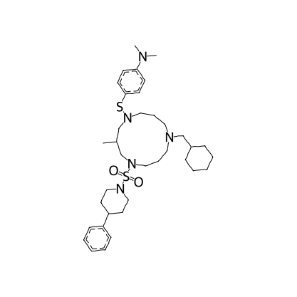 CC1CN(Sc2ccc(N(C)C)cc2)CCCN(CC2CCCCC2)CCCN(S(=O)(=O)N2CCC(c3ccccc3)CC2)C1